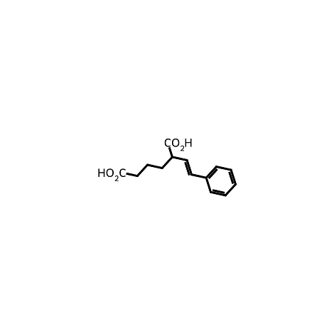 O=C(O)CCCC(C=Cc1ccccc1)C(=O)O